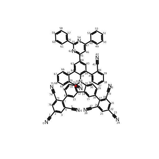 N#Cc1cc(C#N)c(-c2ccc3c(c2)c2cc(-c4c(C#N)cc(C#N)cc4C#N)ccc2n3-c2c(-c3ccccc3C#N)cc(-c3cc(-c4ccccc4)nc(-c4ccccc4)n3)cc2-c2ccccc2C#N)c(C#N)c1